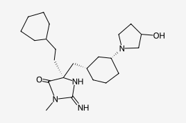 CN1C(=N)N[C@](CCC2CCCCC2)(C[C@H]2CCC[C@@H](N3CCC(O)C3)C2)C1=O